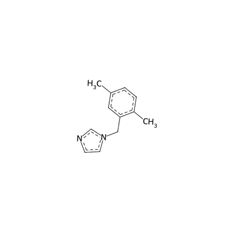 Cc1ccc(C)c(Cn2ccnc2)c1